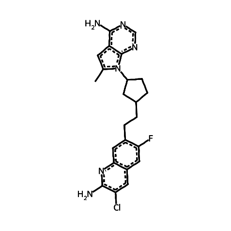 Cc1cc2c(N)ncnc2n1C1CCC(CCc2cc3nc(N)c(Cl)cc3cc2F)C1